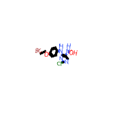 ONc1cnc(Cl)nc1Nc1ccc(OCCBr)cc1